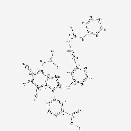 COC(=O)c1cccc(-c2c3c(=O)n(C)c(=O)n(CC(C)C)c3nn2Cc2cccc(C#CCN(C)Cc3ccccc3)c2)c1